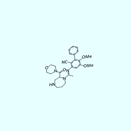 COc1cc(N=C(C)N2CCCNCC2C(=O)N2CCOCC2)c(C#N)c(-c2ccccc2)c1OC